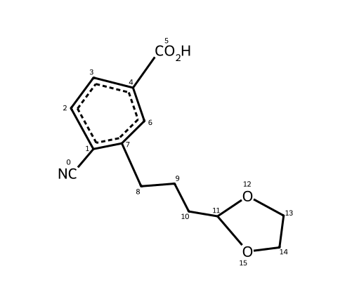 N#Cc1ccc(C(=O)O)cc1CCCC1OCCO1